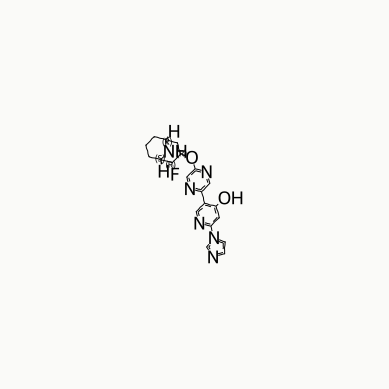 Oc1cc(-n2ccnc2)ncc1-c1cnc(O[C@@H]2C[C@H]3CCC[C@H](N3)[C@H]2F)cn1